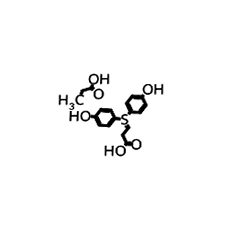 CCC(=O)O.O=C(O)CC=S(c1ccc(O)cc1)c1ccc(O)cc1